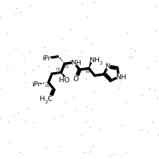 C=C[C@@H](C[C@H](O)[C@H](CC(C)C)NC(=O)[C@@H](N)Cc1c[nH]cn1)C(C)C